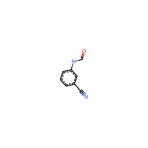 N#Cc1cccc([N]C=O)c1